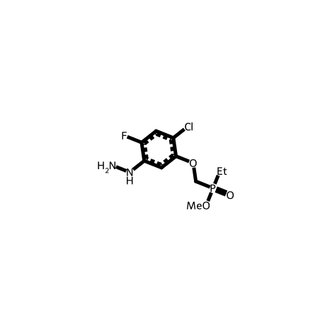 CCP(=O)(COc1cc(NN)c(F)cc1Cl)OC